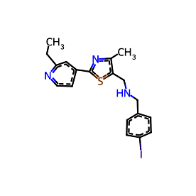 CCc1cc(-c2nc(C)c(CNCc3ccc(I)cc3)s2)ccn1